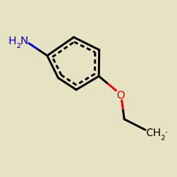 [CH2]COc1ccc(N)cc1